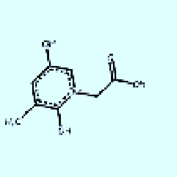 Cc1cc(O)c[n+](CC(=O)O)c1O